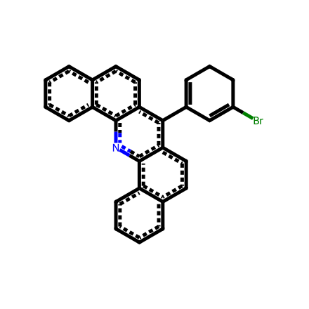 BrC1=CC(c2c3ccc4ccccc4c3nc3c2ccc2ccccc23)=CCC1